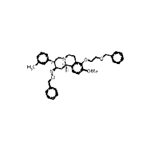 COc1ccc2c(c1OCCOCc1ccccc1)CCN1C[C@H](c3cccc(C)c3)C(=NOCc3ccccc3)C[C@@H]21